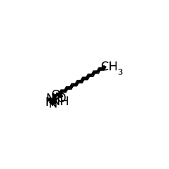 CCCCCCCCCCCCCCCCCC(=O)Oc1nnn[nH]1